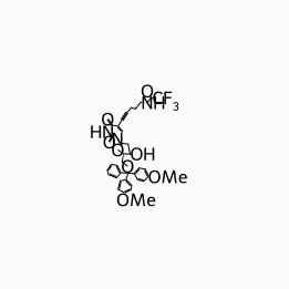 COc1ccc(C(OC[C@H]2O[C@@H](n3cc(C#CCCCNC(=O)C(F)(F)F)c(=O)[nH]c3=O)C[C@@H]2O)(c2ccccc2)c2ccc(OC)cc2)cc1